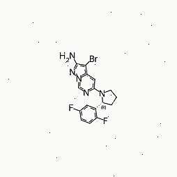 Nc1nn2cnc(N3CCC[C@@H]3c3cc(F)ccc3F)cc2c1Br